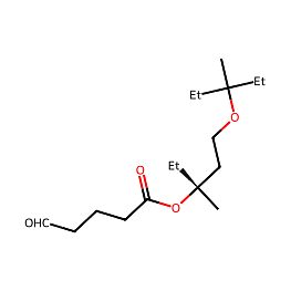 CCC(C)(CC)OCC[C@@](C)(CC)OC(=O)CCCC=O